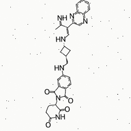 CC(=N)/C(=C\N[C@H]1C[C@H](CNc2ccc3c(c2)C(=O)N(C2CCC(=O)NC2=O)C3=O)C1)c1cnc2ccccc2n1